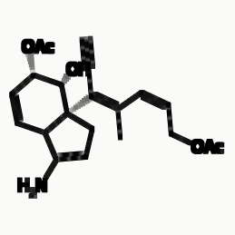 C#C/C(=C(C)\C=C/COC(C)=O)[C@]12CC=C(N)C1C=C[C@H](OC(C)=O)[C@@H]2O